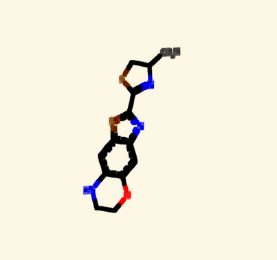 O=C(O)C1CSC(c2nc3cc4c(cc3s2)NCCO4)=N1